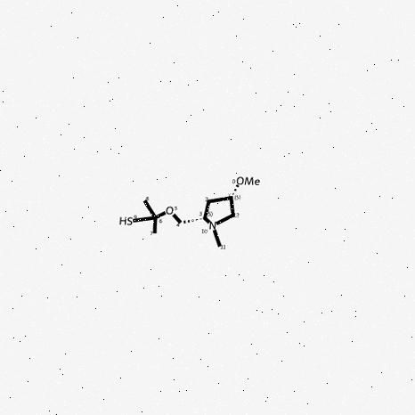 CO[C@H]1C[C@@H](COC(C)(C)S)N(C)C1